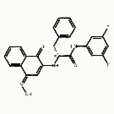 O=C1C(N[C@H](Cc2ccccc2)C(=O)Nc2cc(F)cc(F)c2)=CC(=NO)c2ccccc21